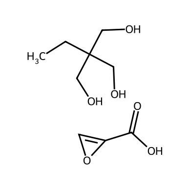 CCC(CO)(CO)CO.O=C(O)C1=CO1